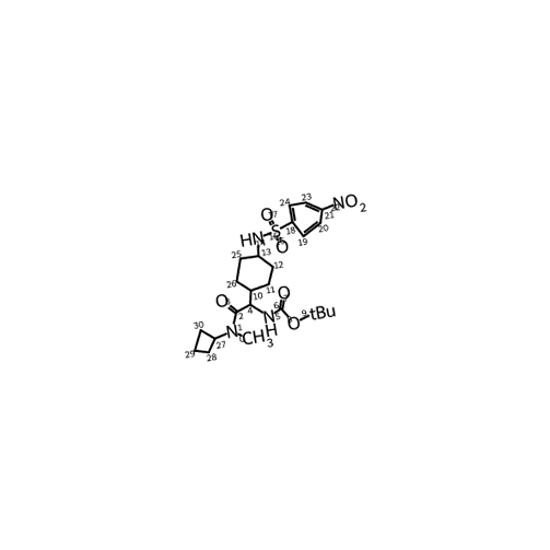 CN(C(=O)C(NC(=O)OC(C)(C)C)C1CCC(NS(=O)(=O)c2ccc([N+](=O)[O-])cc2)CC1)C1CCC1